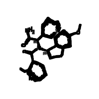 COc1ccc2c(c1)CC[C@H]2N(C(=O)c1cccnc1C)[C@@H](C(N)=O)c1cccnc1